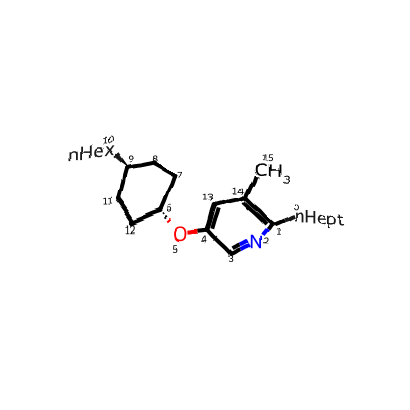 CCCCCCCc1ncc(O[C@H]2CC[C@H](CCCCCC)CC2)cc1C